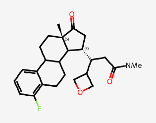 CNC(=O)CC(C1COC1)[C@H]1CC(=O)[C@@]2(C)CCC3c4cccc(F)c4CCC3C12